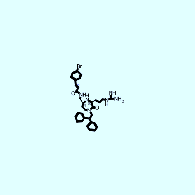 N=C(N)NCCC[C@@H]1N[C@H](CNC(=O)/C=C/c2ccc(Br)cc2)CCN(CC(c2ccccc2)c2ccccc2)C1=O